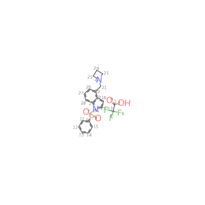 O=C(O)C(F)(F)F.O=S(=O)(c1ccccc1)n1ccc2c(CN3CCC3)cccc21